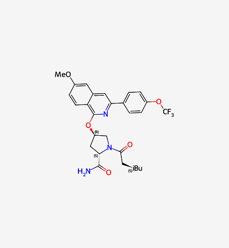 CC[C@H](C)CC(=O)N1C[C@H](Oc2nc(-c3ccc(OC(F)(F)F)cc3)cc3cc(OC)ccc23)C[C@H]1C(N)=O